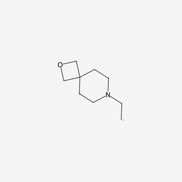 [CH2]CN1CCC2(CC1)COC2